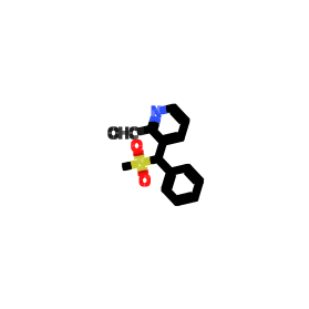 CS(=O)(=O)C(c1ccccc1)c1cccnc1C=O